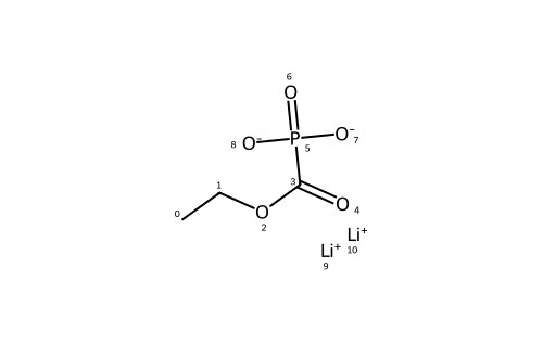 CCOC(=O)P(=O)([O-])[O-].[Li+].[Li+]